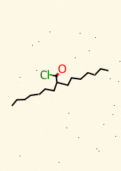 CCCCCCCC(CCCCCCC)C(=O)Cl